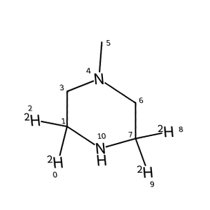 [2H]C1([2H])CN(C)CC([2H])([2H])N1